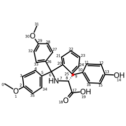 COc1ccc(C(N[C@H](Cc2ccc(O)cc2)C(=O)O)(c2ccccc2)c2ccc(OC)cc2)cc1